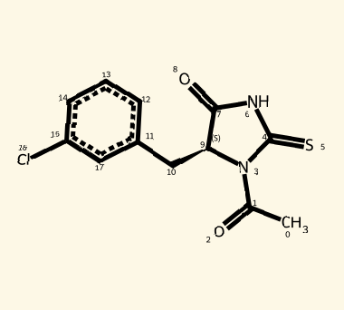 CC(=O)N1C(=S)NC(=O)[C@@H]1Cc1cccc(Cl)c1